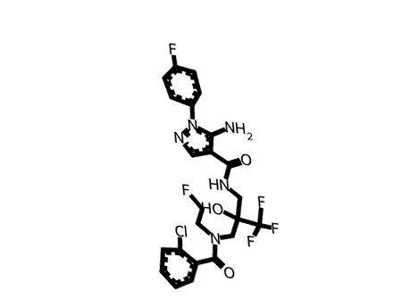 Nc1c(C(=O)NCC(O)(CN(CCF)C(=O)c2ccccc2Cl)C(F)(F)F)cnn1-c1ccc(F)cc1